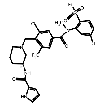 CCS(=O)(=O)c1ccc(Cl)cc1N(C)C(=O)c1cc(Cl)c(CN2CCC[C@H](NC(=O)c3ccc[nH]3)C2)c(C(F)(F)F)c1